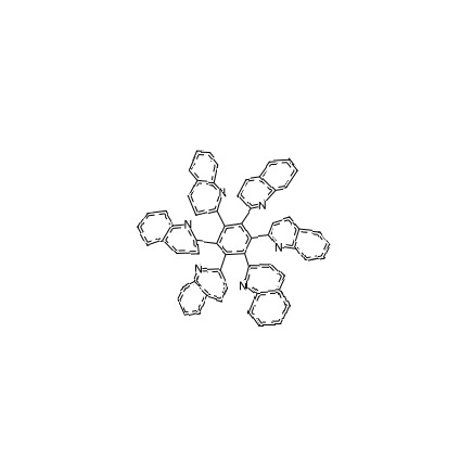 c1ccc2nc(-c3c(-c4ccc5ccccc5n4)c(-c4ccc5ccccc5n4)c(-c4ccc5ccccc5n4)c(-c4ccc5ccccc5n4)c3-c3ccc4ccccc4n3)ccc2c1